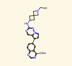 COc1ncnc2ccc(-c3ccn4nc(NC5CC6(C5)CN(CC(C)C)C6)ncc34)cc12